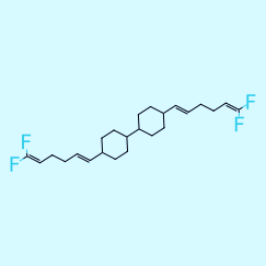 FC(F)=CCCC=CC1CCC(C2CCC(C=CCCC=C(F)F)CC2)CC1